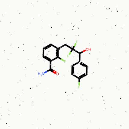 NC(=O)c1cccc(CC(F)(F)C(O)c2ccc(F)cc2)c1F